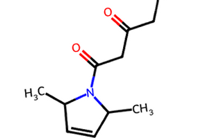 CCCCCCCCCC(=O)CC(=O)N1C(C)C=CC1C